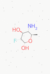 C[C@H]1O[C@H](O)[C@H](F)[C@@H](O)[C@@H]1N